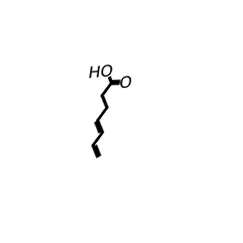 C=CC=CCCC(=O)O